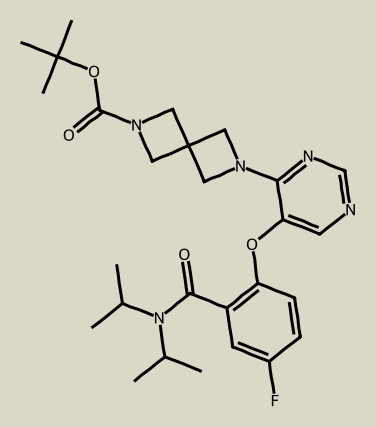 CC(C)N(C(=O)c1cc(F)ccc1Oc1cncnc1N1CC2(CN(C(=O)OC(C)(C)C)C2)C1)C(C)C